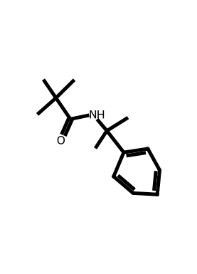 CC(C)(C)C(=O)NC(C)(C)c1ccccc1